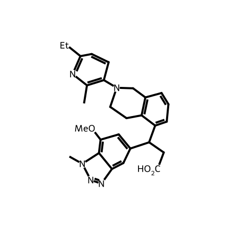 CCc1ccc(N2CCc3c(cccc3C(CC(=O)O)c3cc(OC)c4c(c3)nnn4C)C2)c(C)n1